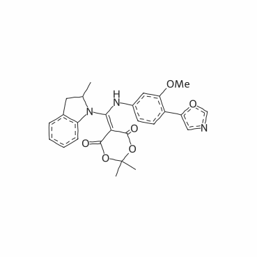 COc1cc(NC(=C2C(=O)OC(C)(C)OC2=O)N2c3ccccc3CC2C)ccc1-c1cnco1